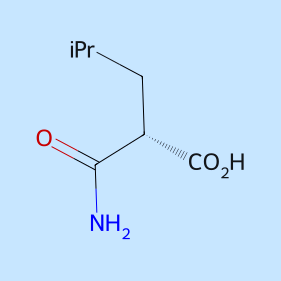 CC(C)C[C@@H](C(N)=O)C(=O)O